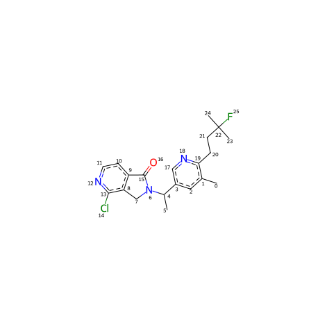 Cc1cc(C(C)N2Cc3c(ccnc3Cl)C2=O)cnc1CCC(C)(C)F